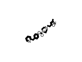 Cc1cc(CCN2CCN(C(=O)Oc3ccc(Cc4ccccn4)cc3)CC2)on1